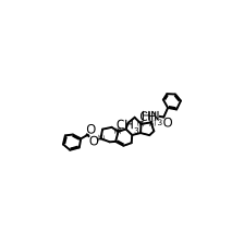 C[C@]12CC[C@H](OC(=O)c3ccccc3)CC1=CCC1C2CC[C@@]2(C)C1CC[C@@H]2NC(=O)c1ccccc1